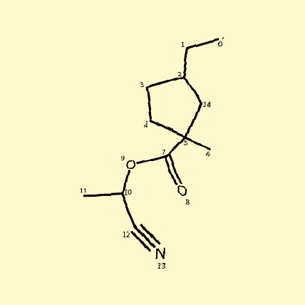 [CH2]CC1C[CH]C(C)(C(=O)OC(C)C#N)C1